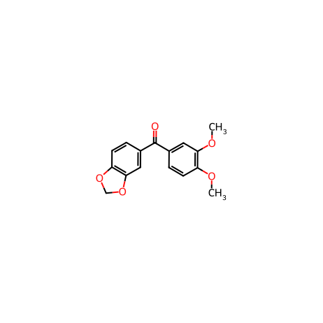 COc1ccc(C(=O)c2ccc3c(c2)OCO3)cc1OC